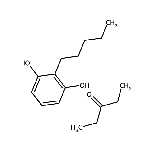 CCC(=O)CC.CCCCCc1c(O)cccc1O